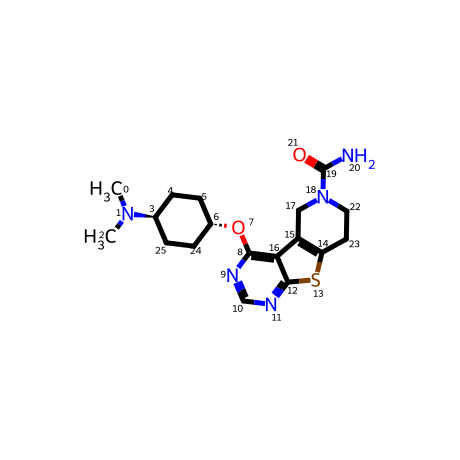 CN(C)[C@H]1CC[C@H](Oc2ncnc3sc4c(c23)CN(C(N)=O)CC4)CC1